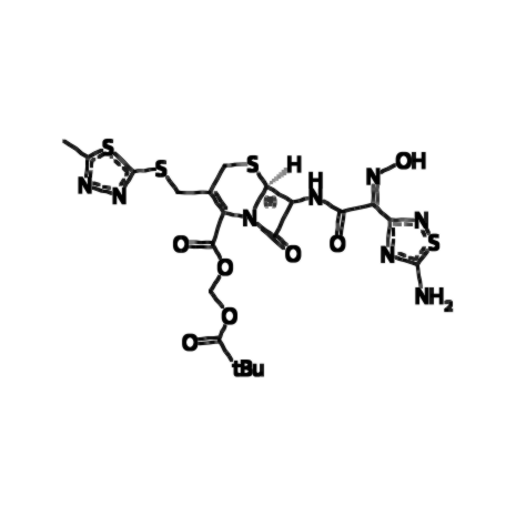 Cc1nnc(SCC2=C(C(=O)OCOC(=O)C(C)(C)C)N3C(=O)C(NC(=O)C(=NO)c4nsc(N)n4)[C@@H]3SC2)s1